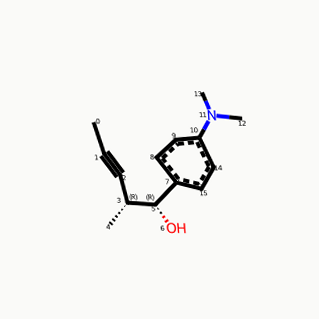 CC#C[C@@H](C)[C@@H](O)c1ccc(N(C)C)cc1